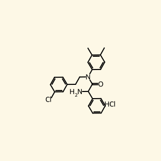 Cc1ccc(N(CCc2cccc(Cl)c2)C(=O)C(N)c2ccccc2)cc1C.Cl